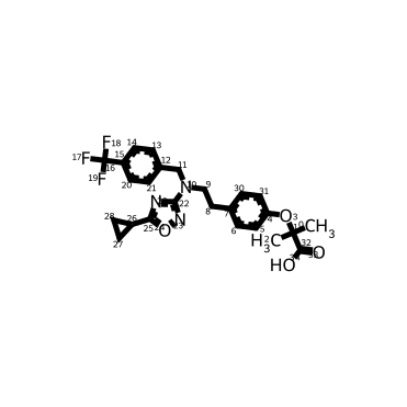 CC(C)(Oc1ccc(CCN(Cc2ccc(C(F)(F)F)cc2)c2noc(C3CC3)n2)cc1)C(=O)O